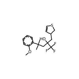 COc1ccccc1C(C)(C)CC(O)(CC1C=CSC1)C(F)(F)F